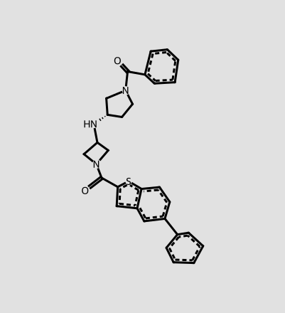 O=C(c1ccccc1)N1CC[C@H](NC2CN(C(=O)c3cc4cc(-c5ccccc5)ccc4s3)C2)C1